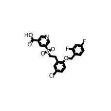 O=C(O)c1cncc(S(=O)(=O)CCc2cc(Cl)ccc2OCc2ccc(F)cc2F)c1